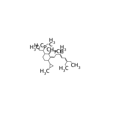 C#C/C=C1\C(=C/C/C(C)=C/C=C(CC)CC)C(C2CC2C)CCC1C(CC)P(=C)(C)CC